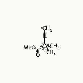 CC#CC1[C@@H](C(=O)OC)C1(C)C